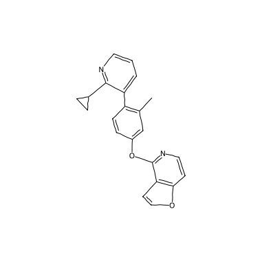 Cc1cc(Oc2nccc3occc23)ccc1-c1cccnc1C1CC1